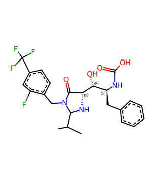 CC(C)C1N[C@@H]([C@H](O)[C@H](Cc2ccccc2)NC(=O)O)C(=O)N1Cc1ccc(C(F)(F)F)cc1F